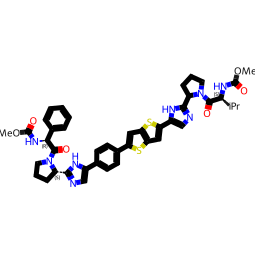 COC(=O)N[C@H](C(=O)N1CCCC1c1ncc(-c2cc3sc(-c4ccc(-c5cnc([C@@H]6CCCN6C(=O)[C@H](NC(=O)OC)c6ccccc6)[nH]5)cc4)cc3s2)[nH]1)C(C)C